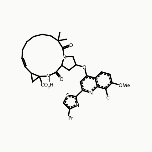 COc1ccc2c(OC3CC4C(=O)NC5(C(=O)O)CC5C=CCCCCCC(C)(C)C(=O)N4C3)cc(-c3nc(C(C)C)cs3)nc2c1Cl